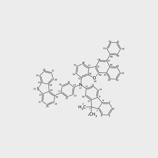 CC1(C)c2ccccc2-c2ccc(N(c3ccc(-c4cccc5sc6ccccc6c45)cc3)c3cccc4c3oc3c5ccccc5c(-c5ccccc5)cc43)cc21